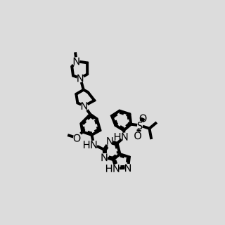 COc1cc(N2CCC(N3CCN(C)CC3)CC2)ccc1Nc1nc(Nc2ccccc2S(=O)(=O)C(C)C)c2cn[nH]c2n1